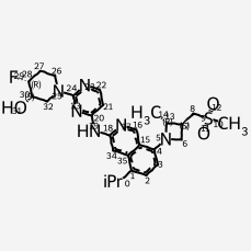 CC(C)c1ccc(N2C[C@H](CS(C)(=O)=O)[C@H]2C)c2cnc(Nc3ccnc(N4CC[C@@H](F)[C@@H](O)C4)n3)cc12